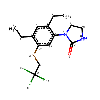 CCc1cc(CC)c(N2CCNC2=O)cc1SCC(F)(F)F